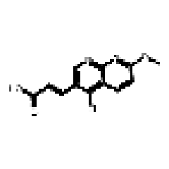 COc1ccc2c(Cl)c(/C=C/C(=O)O)cnc2n1